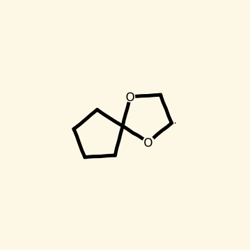 [CH]1COC2(CCCC2)O1